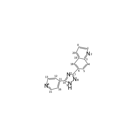 c1cnc2ccc(-c3n[nH]c(-c4ccncc4)n3)cc2c1